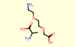 CC(N)C(=O)O.NCCOCCOCC(=O)O